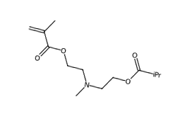 C=C(C)C(=O)OCCN(C)CCOC(=O)C(C)C